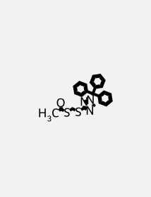 CC(=O)SCSc1ncn(C(c2ccccc2)(c2ccccc2)c2ccccc2)n1